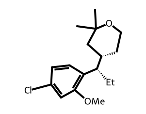 [CH2]C[C@H](c1ccc(Cl)cc1OC)[C@H]1CCOC(C)(C)C1